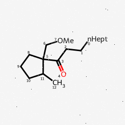 CCCCCCCCCC(=O)C1(COC)CCCC1C